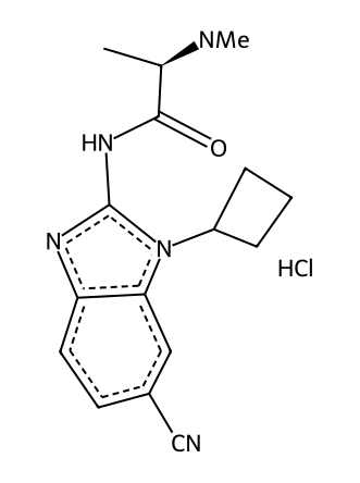 CN[C@H](C)C(=O)Nc1nc2ccc(C#N)cc2n1C1CCC1.Cl